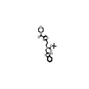 CC(C)(C)OC(=O)N(CCc1nc(C(=O)N2CCOCC2)cs1)Cc1nc2ccccc2[nH]1